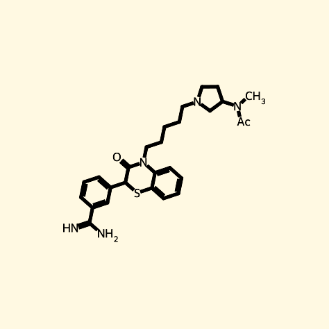 CC(=O)N(C)C1CCN(CCCCCN2C(=O)C(c3cccc(C(=N)N)c3)Sc3ccccc32)C1